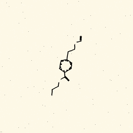 CCCOC(=O)c1ccc(CCOC=O)cc1